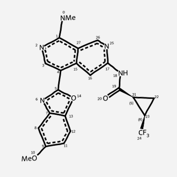 CNc1ncc(-c2nc3cc(OC)ccc3o2)c2cc(NC(=O)[C@H]3C[C@H]3C(F)(F)F)ncc12